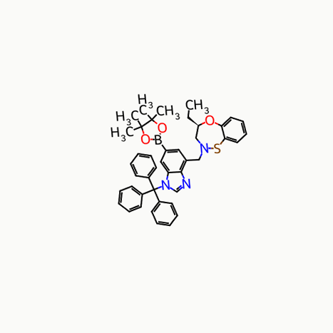 CC[C@@H]1CN(Cc2cc(B3OC(C)(C)C(C)(C)O3)cc3c2ncn3C(c2ccccc2)(c2ccccc2)c2ccccc2)Sc2ccccc2O1